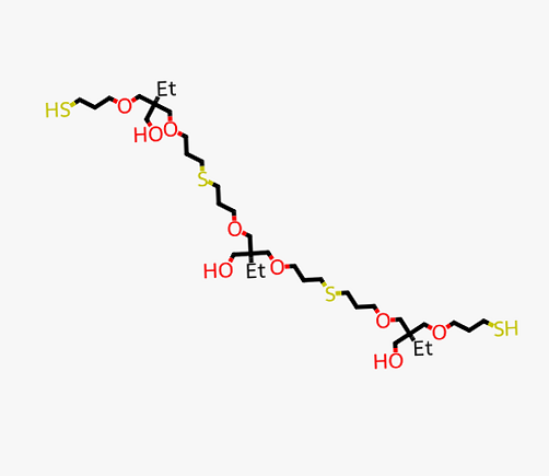 CCC(CO)(COCCCS)COCCCSCCCOCC(CC)(CO)COCCCSCCCOCC(CC)(CO)COCCCS